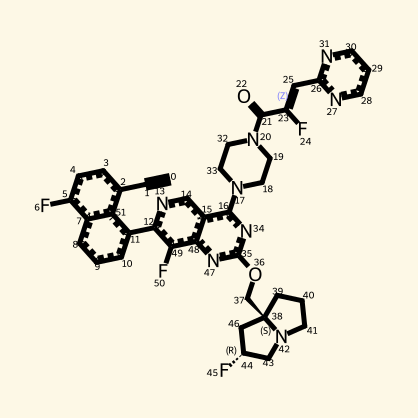 C#Cc1ccc(F)c2cccc(-c3ncc4c(N5CCN(C(=O)/C(F)=C/c6ncccn6)CC5)nc(OC[C@@]56CCCN5C[C@H](F)C6)nc4c3F)c12